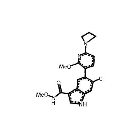 CONC(=O)c1c[nH]c2cc(Cl)c(-c3ccc(N4CCC4)nc3OC)cc12